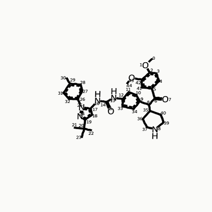 COc1ccc(C(=O)C(c2ccc(NC(=O)Nc3cc(C(C)(C)C)nn3-c3ccc(C)cc3)cc2)C2CCNCC2)cc1OC